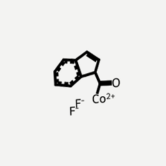 O=[C]([Co+2])C1C=Cc2ccccc21.[F-].[F-]